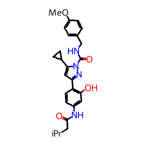 COc1ccc(CNC(=O)n2nc(-c3ccc(NC(=O)CC(C)C)cc3O)cc2C2CC2)cc1